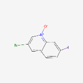 [O-][n+]1cc(Br)cc2ccc(I)cc21